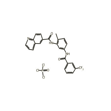 Cc1ccc(NC(=O)c2cccc(C(F)(F)F)c2)cc1NC(=O)c1ccc2ncccc2c1.O=P(Cl)(Cl)Cl